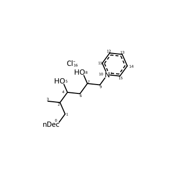 CCCCCCCCCCCC(C)C(O)CC(O)C[n+]1ccccc1.[Cl-]